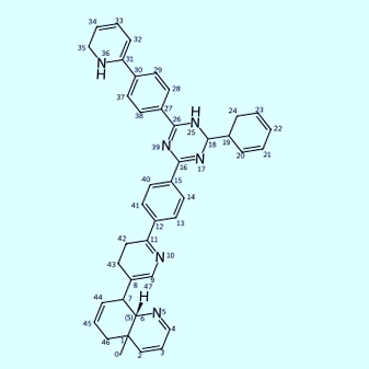 CC12C=CC=N[C@H]1C(C1=CN=C(c3ccc(C4=NC(C5C=CC=CC5)NC(c5ccc(C6=CC=CCN6)cc5)=N4)cc3)CC1)C=CC2